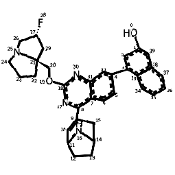 Oc1cc(-c2ccc3c(C4=CC5CCC(C4)N5)nc(OC[C@@]45CCCN4C[C@H](F)C5)nc3c2)c2ccccc2c1